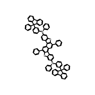 c1ccc(-c2cc3c(cc(-c4ccccc4)c4sc5cc(N(c6ccccc6)c6cccc(C7(c8ccccc8)c8ccccc8-c8ccccc87)c6)ccc5c43)c3c2sc2cc(N(c4ccccc4)c4cccc(C5(c6ccccc6)c6ccccc6-c6ccccc65)c4)ccc23)cc1